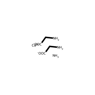 N.NCC(=O)[O-].NCC(=O)[O-].[Cd+2]